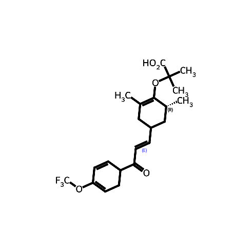 CC1=C(OC(C)(C)C(=O)O)[C@H](C)CC(/C=C/C(=O)C2C=CC(OC(F)(F)F)=CC2)C1